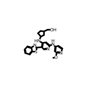 COc1cc(Nc2cc(NC3CCC(CO)C3)c(-c3nc4ccccc4s3)cn2)ccn1